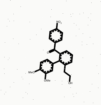 COc1ccc(-c2c(CCO)cccc2C(=O)c2ccc([N+](=O)[O-])cc2)cc1OC